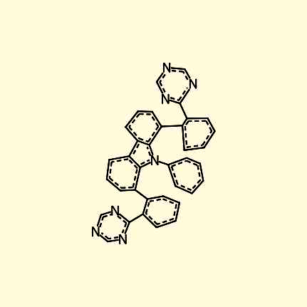 c1ccc(-n2c3c(-c4ccccc4-c4ncncn4)cccc3c3cccc(-c4ccccc4-c4ncncn4)c32)cc1